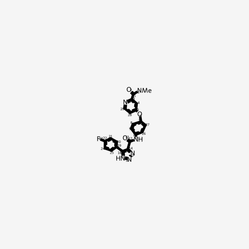 CNC(=O)c1cc(Oc2ccc(NC(=O)c3nn[nH]c3-c3ccc(F)cc3)cc2)ccn1